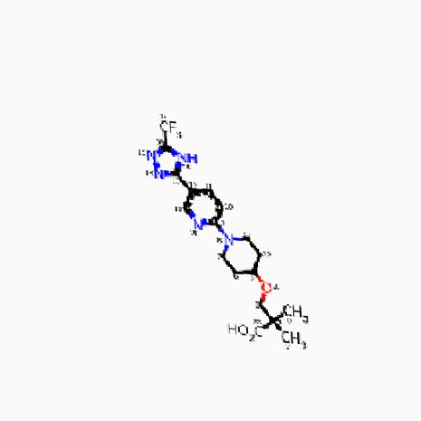 CC(C)(COC1CCN(c2ccc(-c3nnc(C(F)(F)F)[nH]3)cn2)CC1)C(=O)O